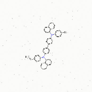 C=Cc1ccc(N(c2ccc(-c3ccc(N(c4ccc(CC)cc4)c4cccc5c4C=CCC5)cc3)cc2)c2cccc3c2C=CCC3)cc1